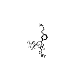 CC(C)CCc1cccc(C(C[Si](C)(C)C)OCCOC(C)C)c1